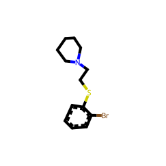 Brc1ccccc1SCCN1CCCCC1